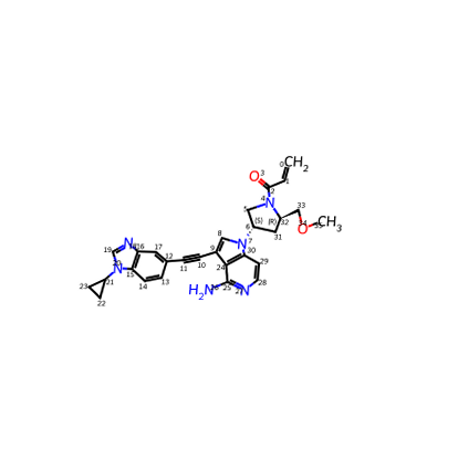 C=CC(=O)N1C[C@@H](n2cc(C#Cc3ccc4c(c3)ncn4C3CC3)c3c(N)nccc32)C[C@@H]1COC